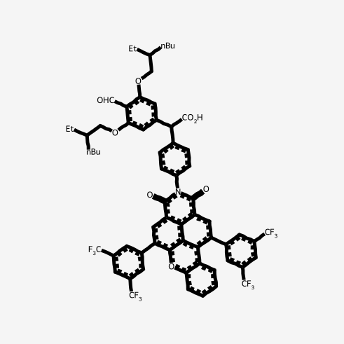 CCCCC(CC)COc1cc(C(C(=O)O)c2ccc(-n3c(=O)c4cc(-c5cc(C(F)(F)F)cc(C(F)(F)F)c5)c5oc6ccccc6c6c(-c7cc(C(F)(F)F)cc(C(F)(F)F)c7)cc(c3=O)c4c56)cc2)cc(OCC(CC)CCCC)c1C=O